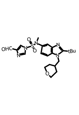 CN(c1ccc2c(c1)nc(C(C)(C)C)n2CC1CCOCC1)S(=O)(=O)n1cnc(C=O)c1